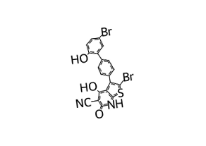 N#Cc1c(O)c2c(-c3ccc(-c4cc(Br)ccc4O)cc3)c(Br)sc2[nH]c1=O